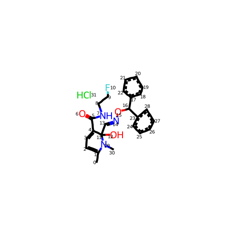 CC1=CC=C(C(=O)NCCF)C(O)(C=NOC(c2ccccc2)c2ccccc2)N1C.Cl